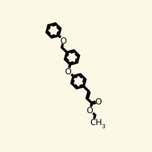 CCOC(=O)/C=C/c1ccc(Oc2cccc(COc3ccccc3)c2)cc1